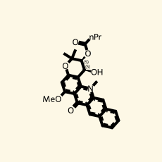 CCCC(=O)O[C@H]1[C@@H](O)c2c(cc(OC)c3c(=O)c4cc5ccccc5cc4n(C)c23)OC1(C)C